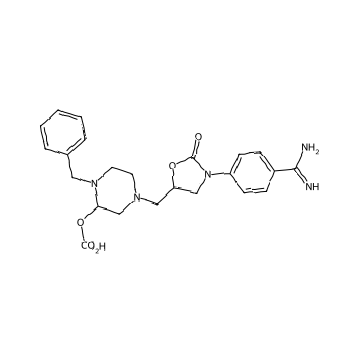 N=C(N)c1ccc(N2CC(CN3CCN(Cc4ccccc4)C(OC(=O)O)C3)OC2=O)cc1